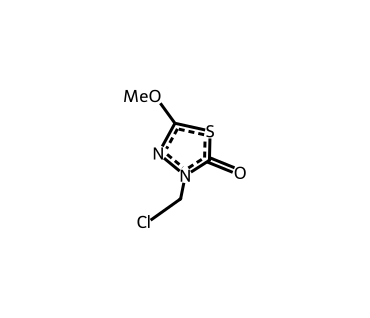 COc1nn(CCl)c(=O)s1